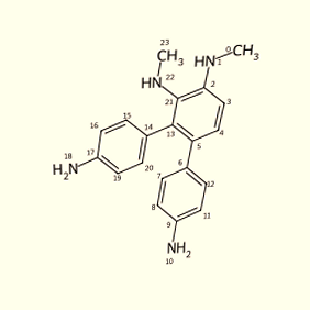 CNc1ccc(-c2ccc(N)cc2)c(-c2ccc(N)cc2)c1NC